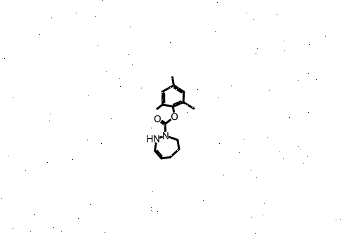 Cc1cc(C)c(OC(=O)N2CCCC=CN2)c(C)c1